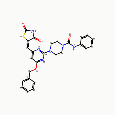 O=C1NC(=O)/C(=C\c2cc(OCc3ccccc3)nc(N3CCN(C(=O)Nc4ccccc4)CC3)n2)S1